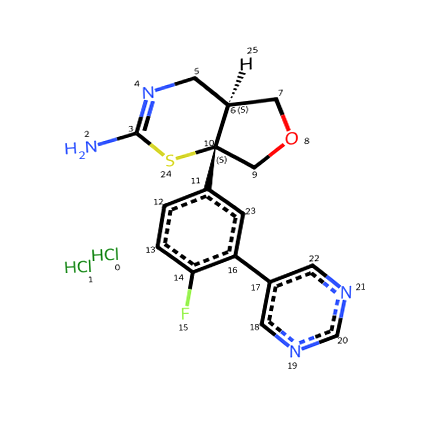 Cl.Cl.NC1=NC[C@H]2COC[C@]2(c2ccc(F)c(-c3cncnc3)c2)S1